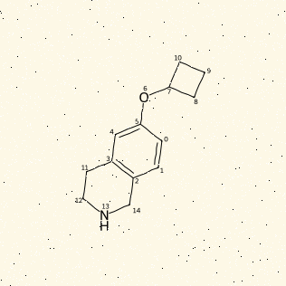 c1cc2c(cc1OC1CCC1)CCNC2